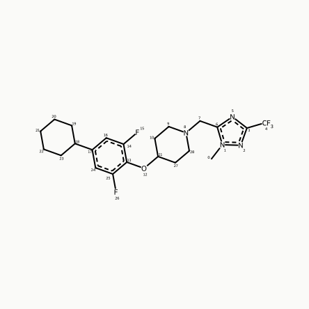 Cn1nc(C(F)(F)F)nc1CN1CCC(Oc2c(F)cc(C3CCCCC3)cc2F)CC1